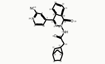 N#Cc1cc(-c2nn(NC(=O)CC3CC4CCC3C4)c(=O)c3ccccc23)ccn1